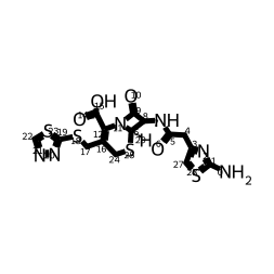 Nc1nc(CC(=O)NC2C(=O)N3C(C(=O)O)=C(CSc4nncs4)CS[C@H]23)cs1